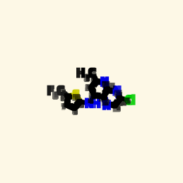 Cc1cc(Nc2ccc(C(F)(F)F)s2)c2ncc(Cl)nc2n1